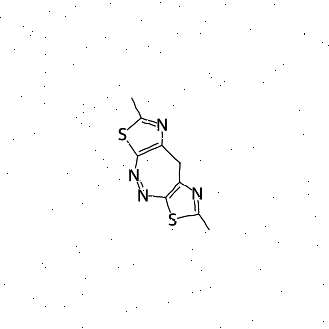 Cc1nc2c(s1)N=Nc1sc(C)nc1C2